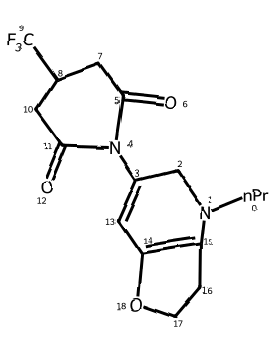 CCCN1CC(N2C(=O)CC(C(F)(F)F)CC2=O)=CC2=C1CCO2